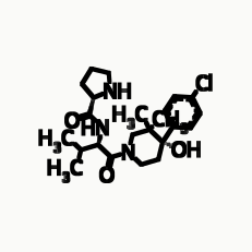 CC(C)[C@@H](NC(=O)[C@H]1CCCN1)C(=O)N1CC[C@](O)(c2ccc(Cl)cc2)C(C)(C)C1